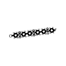 O=S(=O)(c1ccc(F)cc1)c1ccc(-c2ccc(S(=O)(=O)c3ccc(-c4ccc(S(=O)(=O)c5ccc(Cl)cc5)cc4)cc3)cc2)cc1